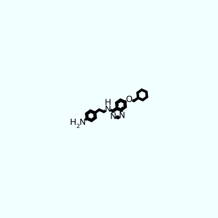 Nc1ccc(CCNc2ncnc3cc(OCC4CCCCC4)ccc23)cc1